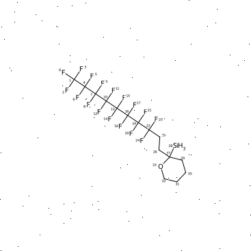 FC(F)(F)C(F)(F)C(F)(F)C(F)(F)C(F)(F)C(F)(F)C(F)(F)C(F)(F)CCC1([SiH3])CCCCO1